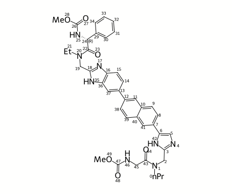 CCCN(Cc1ncc(-c2ccc3cc(-c4ccc5nc(CN(CC)C(=O)[C@H](NC(=O)OC)c6ccccc6)[nH]c5c4)ccc3c2)[nH]1)C(=O)CNC(=O)OC